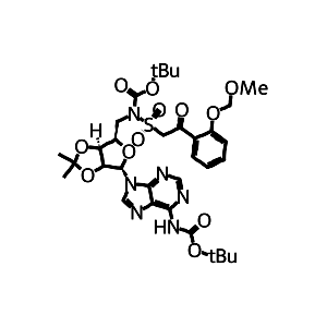 COCOc1ccccc1C(=O)CS(=O)(=O)N(C[C@H]1O[C@@H](n2cnc3c(NC(=O)OC(C)(C)C)ncnc32)C2OC(C)(C)O[C@H]21)C(=O)OC(C)(C)C